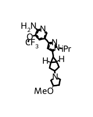 CO[C@H]1CCN(C2C[C@@H]3C(c4cc(-c5cnc(N)c(OC(F)(F)F)c5)nn4C(C)C)[C@@H]3C2)C1